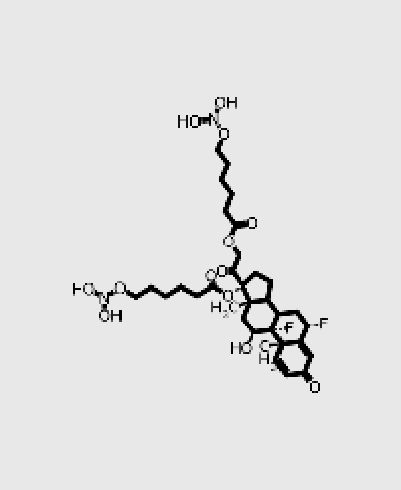 C[C@]12C=CC(=O)C=C1[C@@H](F)CC1C3CC[C@](OC(=O)CCCCCON(O)O)(C(=O)COC(=O)CCCCCON(O)O)[C@@]3(C)C[C@H](O)[C@@]12F